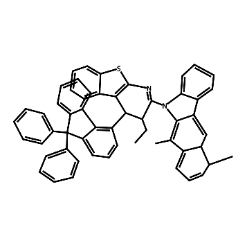 CCC1C(n2c3c(c4ccccc42)=CC2C(=CC=CC2C)C=3C)=Nc2sc3ccccc3c2C1c1cccc2c1-c1ccccc1C2(c1ccccc1)c1ccccc1